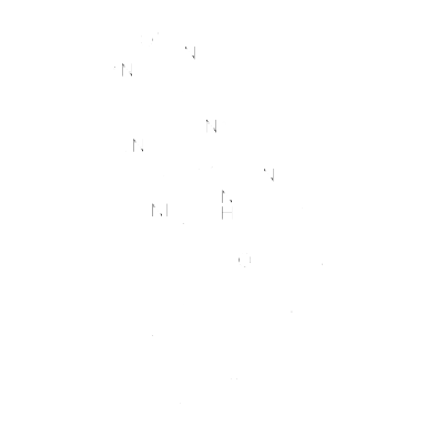 Nc1nc2nonc2nc1N/N=C\c1ccc(-c2ccccc2)o1